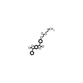 COCCOC(=O)COc1ccc(C2=c3cc4c(cc3OC2=O)=C(c2ccccc2)C(=O)O4)cc1